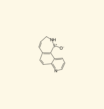 [O-][S+]1NCC=Cc2ccc3ncccc3c21